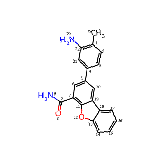 Cc1ccc(-c2cc(C(N)=O)c3oc4ccccc4c3c2)cc1N